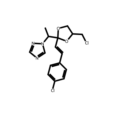 CC(n1cncn1)C1(C=Cc2ccc(Cl)cc2)OCC(CCl)O1